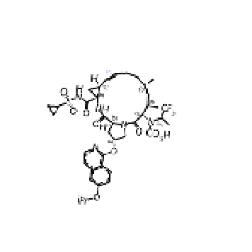 CC(C)Oc1ccc2c(O[C@@H]3C[C@H]4C(=O)N[C@]5(C(=O)NS(=O)(=O)C6CC6)C[C@H]5/C=C\CC[C@@H](C)C[C@@H](C)[C@H](N(C(=O)O)[C@H](C)C(F)(F)F)C(=O)N4C3)nccc2c1